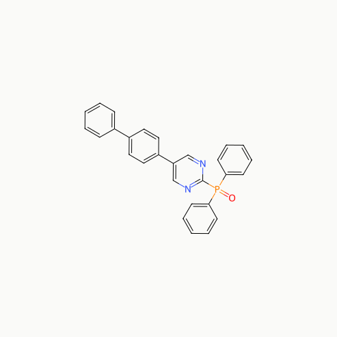 O=P(c1ccccc1)(c1ccccc1)c1ncc(-c2ccc(-c3ccccc3)cc2)cn1